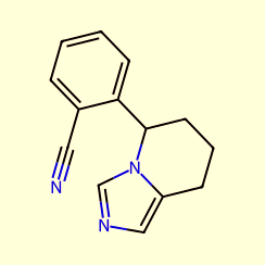 N#Cc1ccccc1C1CCCc2cncn21